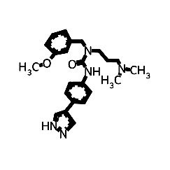 COc1cccc(CN(CCCN(C)C)C(=O)Nc2ccc(-c3cn[nH]c3)cc2)c1